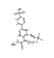 CC(C)S(=O)(=O)c1ccc(-c2cnc(N(C(=O)O)C(=O)OC(C)(C)C)c(C#C[Si](C)(C)C)n2)cc1